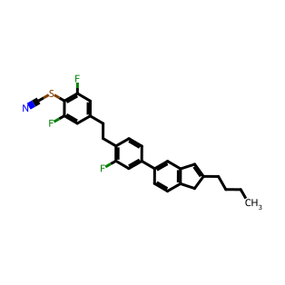 CCCCC1=Cc2cc(-c3ccc(CCc4cc(F)c(SC#N)c(F)c4)c(F)c3)ccc2C1